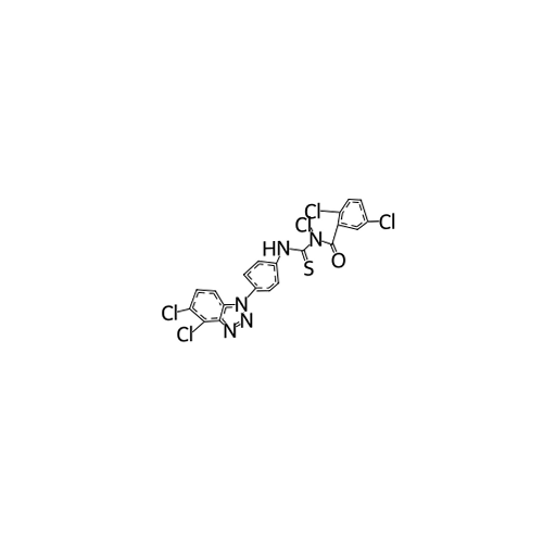 O=C(c1cc(Cl)ccc1Cl)N(Cl)C(=S)Nc1ccc(-n2nnc3c(Cl)c(Cl)ccc32)cc1